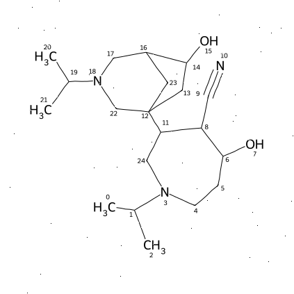 CC(C)N1CCC(O)C(C#N)C(C23CC(O)C(CN(C(C)C)C2)C3)C1